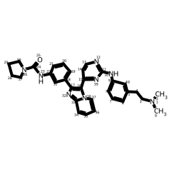 CN(C)CCc1cccc(Nc2nccc(-c3c(-c4cccc(NC(=O)N5CCCC5)c4)nc4ccccn34)n2)c1